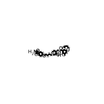 Cc1cc2c(c(C(=O)NC[C@@H]3CCN(CCCCOc4ccc(S(N)(=O)=O)cc4)C[C@H]3O)c1)OCCCO2